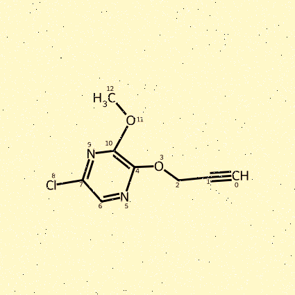 C#CCOc1ncc(Cl)nc1OC